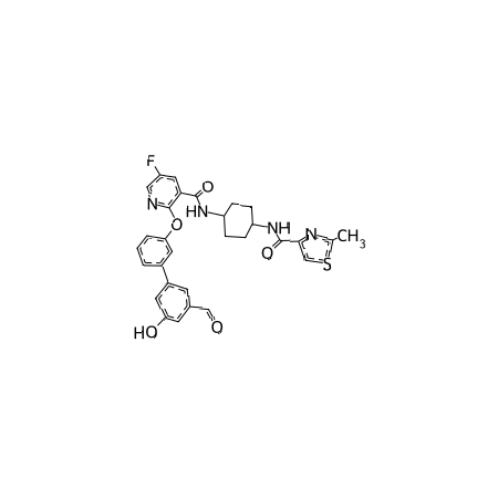 Cc1nc(C(=O)NC2CCC(NC(=O)c3cc(F)cnc3Oc3cccc(-c4cc(O)cc(C=O)c4)c3)CC2)cs1